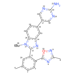 Cc1ccc(-c2nc(C)no2)c(-c2nc3cc(-c4cnc(N)nc4)ccc3n2C(C)(C)C)c1